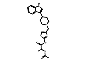 CC(=O)O[C@@H](C)C(=O)Nc1nc(CN2CCC(c3c[nH]c4ccccc34)CC2)cs1